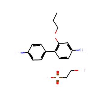 CCCOc1cc(N)ccc1-c1ccc(N)cc1.O=S(=O)(O)CCO